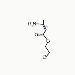 C/C(N)=C/C(=O)OCCCl